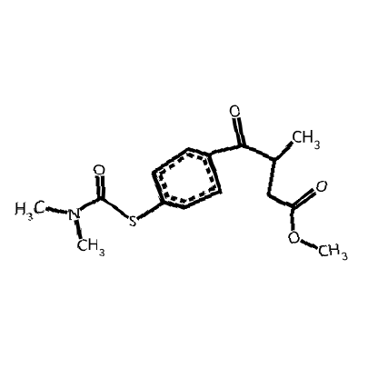 COC(=O)CC(C)C(=O)c1ccc(SC(=O)N(C)C)cc1